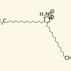 CCCCCCCCCCCCCCc1ccccc1CCCCCCCCCCCCCC.N[SH](=O)=O